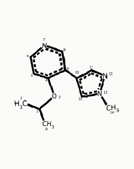 CC(C)Oc1ccncc1-c1cnn(C)c1